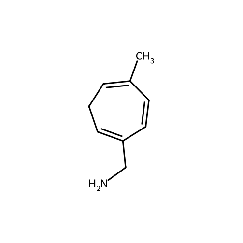 CC1=CCC=C(CN)C=C1